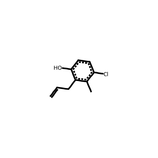 C=CCc1c(O)ccc(Cl)c1C